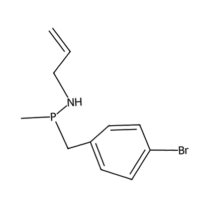 C=CCNP(C)Cc1ccc(Br)cc1